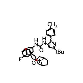 Cc1ccc(-n2nc(C(C)(C)C)cc2NC(=O)Nc2cccc(CC3CC4CCC(C3)N4C(=O)Cc3cccc(F)c3)c2)cc1